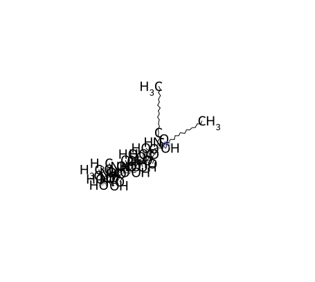 CCCCCCCCCCCCC/C=C/[C@@H](O)[C@H](CO[C@@H]1OC(CO)[C@@H](O[C@@H]2OC(CO)[C@H](O[C@@H]3OC(CO)[C@H](O)[C@H](O[C@@H]4OC(CO)[C@H](O)[C@H](O[C@@H]5OC(CO)[C@H](O)[C@H](O)C5NC(C)=O)C4NC(C)=O)C3O)[C@H](O)C2O)[C@H](O)C1O)NC(=O)CCCCCCCCCCCCCCCCC